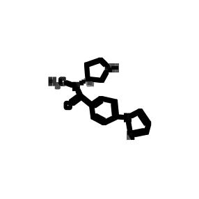 CN(C(=O)c1ccc(-n2cccn2)cc1)[C@@H]1CCNC1